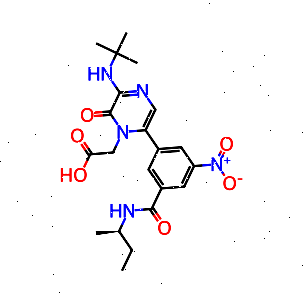 CC[C@@H](C)NC(=O)c1cc(-c2cnc(NC(C)(C)C)c(=O)n2CC(=O)O)cc([N+](=O)[O-])c1